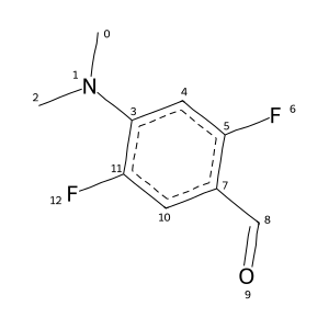 CN(C)c1cc(F)c(C=O)cc1F